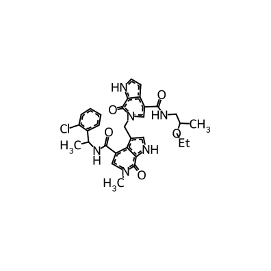 CCOC(C)CNC(=O)c1cn(Cc2c[nH]c3c(=O)n(C)cc(C(=O)NC(C)c4ccccc4Cl)c23)c(=O)c2[nH]ccc12